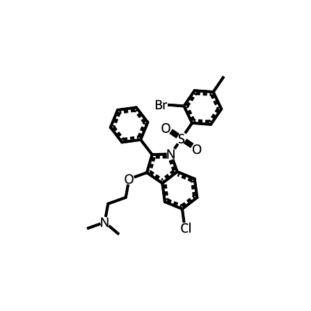 Cc1ccc(S(=O)(=O)n2c(-c3ccccc3)c(OCCN(C)C)c3cc(Cl)ccc32)c(Br)c1